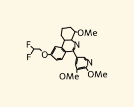 COc1cc(C2=NC3C(OC)CCCC3c3cc(OCC(F)F)ccc32)cnc1OC